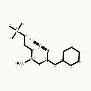 C[Si](C)(C)CCCN(C[C@H](CC1CCCCC1)N=C=S)C(=O)O